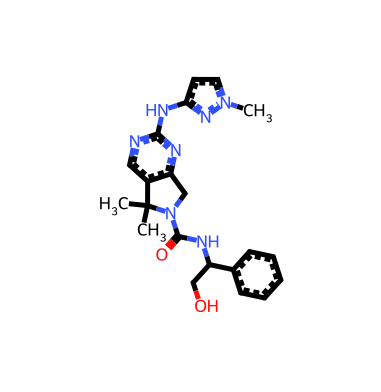 Cn1ccc(Nc2ncc3c(n2)CN(C(=O)NC(CO)c2ccccc2)C3(C)C)n1